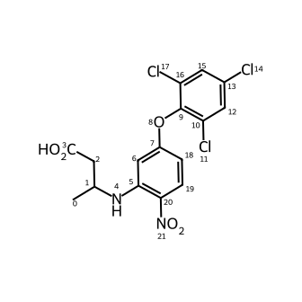 CC(CC(=O)O)Nc1cc(Oc2c(Cl)cc(Cl)cc2Cl)ccc1[N+](=O)[O-]